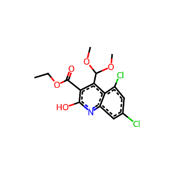 CCOC(=O)c1c(O)nc2cc(Cl)cc(Cl)c2c1C(OC)OC